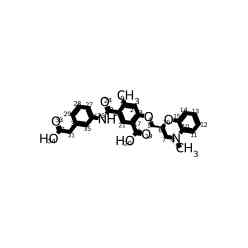 Cc1cc(OC[C@@H]2CN(C)c3ccccc3O2)c(C(=O)O)cc1C(=O)Nc1cccc(CC(=O)O)c1